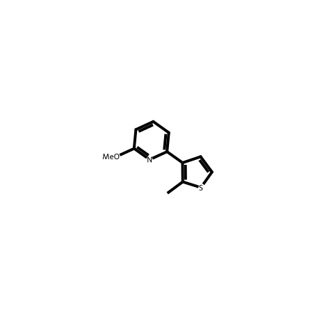 COc1cccc(-c2ccsc2C)n1